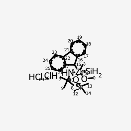 C[O][Zr]([CH3])(=[SiH2])([NH]C(C)(C)C)([O][Si](C)(C)C)[CH]1c2ccccc2-c2ccccc21.Cl.Cl